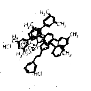 Cc1cc(C)cc(-c2ccc(-c3cc(C)cc(C)c3)c3c2C=C(CCc2ccccc2)[CH]3[Zr]([CH3])([CH3])(=[SiH2])[CH]2C(CCc3ccccc3)=Cc3c(-c4cc(C)cc(C)c4)ccc(-c4cc(C)cc(C)c4)c32)c1.Cl.Cl